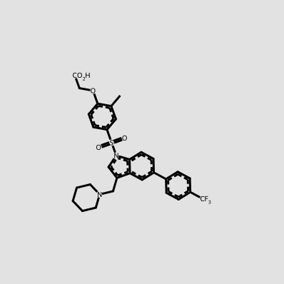 Cc1cc(S(=O)(=O)n2cc(CN3CCCCC3)c3cc(-c4ccc(C(F)(F)F)cc4)ccc32)ccc1OCC(=O)O